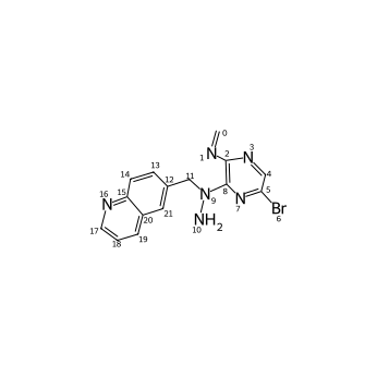 C=Nc1ncc(Br)nc1N(N)Cc1ccc2ncccc2c1